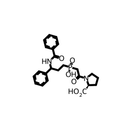 O=C(NC(CCP(=O)(O)CC(=O)N1CCC[C@H]1C(=O)O)c1ccccc1)c1ccccc1